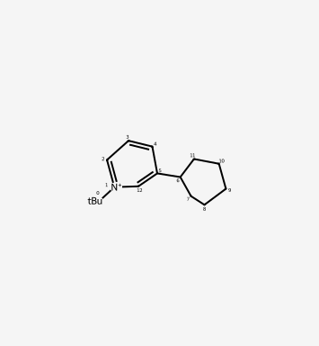 CC(C)(C)[n+]1cccc(C2CCCCC2)c1